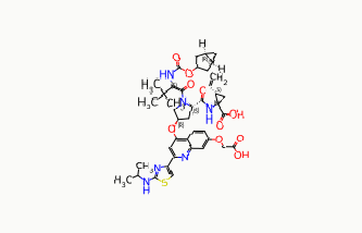 C=C[C@@H]1C[C@]1(NC(=O)[C@@H]1C[C@@H](Oc2cc(-c3csc(NC(C)C)n3)nc3cc(OCC(=O)O)ccc23)CN1C(=O)[C@@H](NC(=O)OC1C[C@@H]2C[C@@H]2C1)C(C)(C)C)C(=O)O